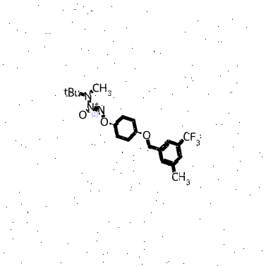 Cc1cc(CO[C@H]2CC[C@@H](O/N=[N+](\[O-])N(C)C(C)(C)C)CC2)cc(C(F)(F)F)c1